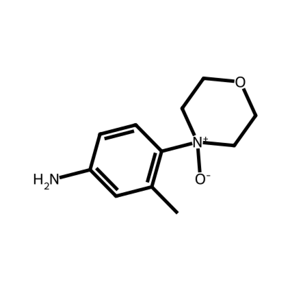 Cc1cc(N)ccc1[N+]1([O-])CCOCC1